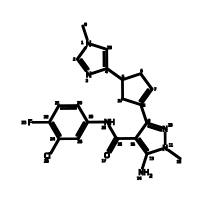 Cn1cnc(C2CC=C(c3nn(C)c(N)c3C(=O)Nc3ccc(F)c(Cl)c3)C2)c1